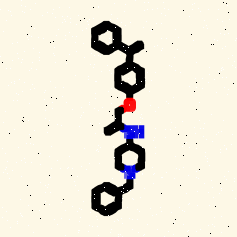 C=C(COc1ccc(C(=C)c2ccccc2)cc1)NC1CCN(Cc2ccccc2)CC1